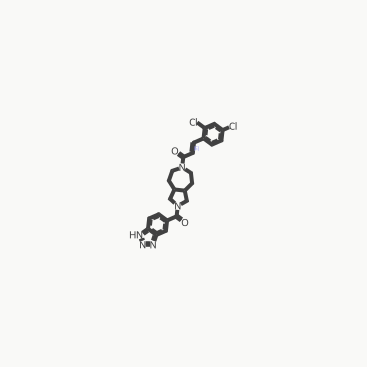 O=C(/C=C/c1ccc(Cl)cc1Cl)N1CCC2CN(C(=O)c3ccc4[nH]nnc4c3)CC2CC1